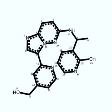 CC(Nc1ccc2ncc(-c3cc(CO)ccn3)n2n1)c1cccnc1O